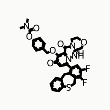 CN(C)C(=O)Oc1ccc(COc2c3n(c(-c4cc(F)c(F)c5c4Cc4ccccc4SC5)cc2=O)N[C@@H]2COCCN2C3=O)cc1